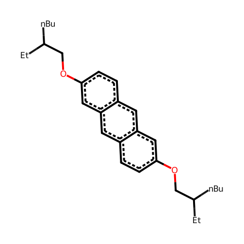 CCCCC(CC)COc1ccc2cc3cc(OCC(CC)CCCC)ccc3cc2c1